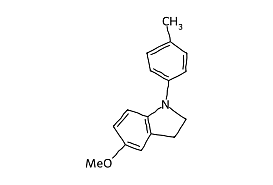 COc1ccc2c(c1)CCN2c1ccc(C)cc1